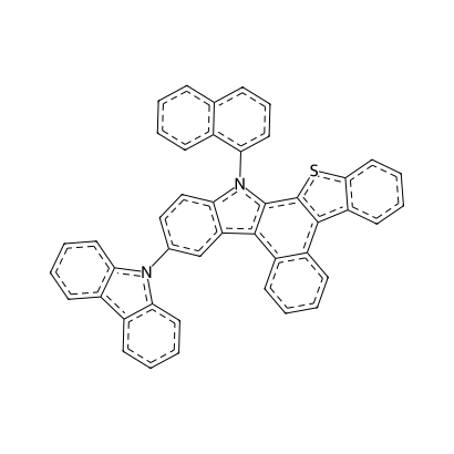 c1ccc2c(-n3c4ccc(-n5c6ccccc6c6ccccc65)cc4c4c5ccccc5c5c6ccccc6sc5c43)cccc2c1